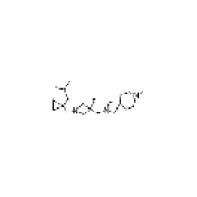 CC(C)CC1(CN2CC(F)(CN3CC4(CCN(C)CC4)C3)C2)CC1